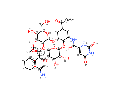 COC(=O)C1CC(NC(=O)c2cc(=O)[nH]c(=O)[nH]2)C(O[C@@H]2OC(C)[C@@H](O)C(O)C2O)[C@H](O[C@@H]2OC(CO)[C@H](O)C(O[C@@H](CC3CCCCC3)C(=O)O)C2OC(=O)c2ccc(N)cc2)C1